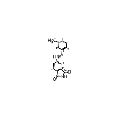 Cc1cccc(CNc2ccc3c(c2)C(=O)NC3=O)c1